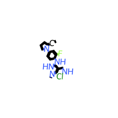 C=C=C1CCCN1C1=CCC(NC(=N)/C(C=N)=C(/Cl)N=C)C(F)=C1